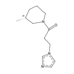 C[C@@H]1CCCN(C(=O)CCn2ccnc2)C1